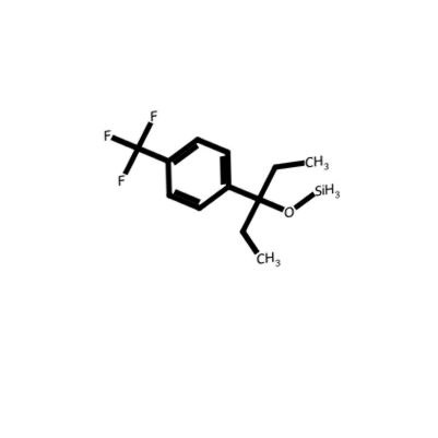 CCC(CC)(O[SiH3])c1ccc(C(F)(F)F)cc1